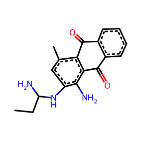 CCC(N)Nc1cc(C)c2c(c1N)C(=O)c1ccccc1C2=O